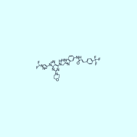 O=C(/C=C/c1ccc(C(F)(F)F)cc1)Nc1ccc2[nH]c(CNc3nc(N4CCOCC4)nc4c3ncn4-c3cnn(C(F)F)c3)nc2c1